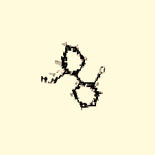 CCc1ccccc1-c1ccccc1N